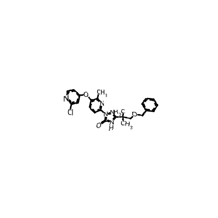 Cc1nc(-n2nc(C(C)(C)COCc3ccccc3)[nH]c2=O)ccc1Oc1ccnc(Cl)c1